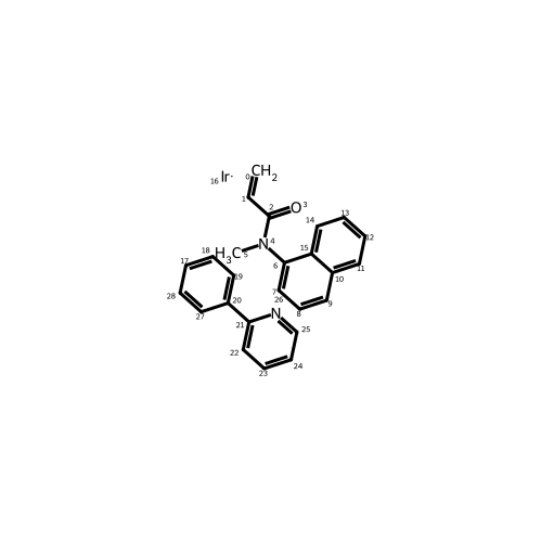 C=CC(=O)N(C)c1cccc2ccccc12.[Ir].c1ccc(-c2ccccn2)cc1